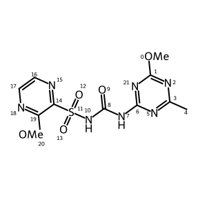 COc1nc(C)nc(NC(=O)NS(=O)(=O)c2nccnc2OC)n1